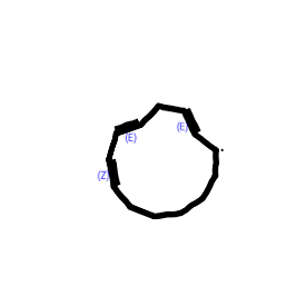 [CH]1/C=C/C/C=C/C=C\CCCCC1